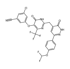 N#Cc1cc(Cl)cc(Oc2c(C(F)(F)F)nc(Cc3cc(-c4ccc(OC(F)F)cc4)n[nH]c3=O)[nH]c2=O)c1